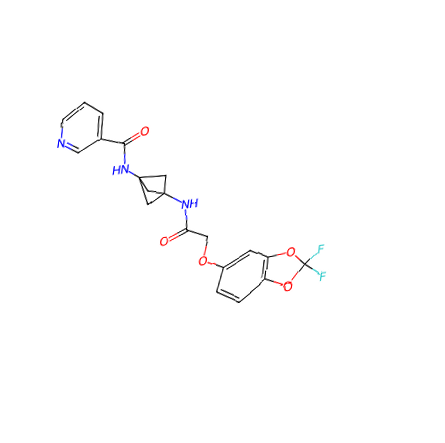 O=C(COc1ccc2c(c1)OC(F)(F)O2)NC12CC(NC(=O)c3cccnc3)(C1)C2